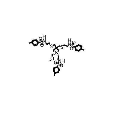 COCOCC(CSCCNS(=O)(=O)c1ccc(C)cc1)(CSCCNS(=O)(=O)c1ccc(C)cc1)CSCCNS(=O)(=O)c1ccc(C)cc1